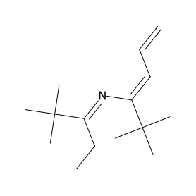 C=C/C=C(\N=C(/CC)C(C)(C)C)C(C)(C)C